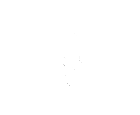 CNc1nc(-c2cccnc2)nc2c(F)cc(-c3cccc(C)c3F)cc12